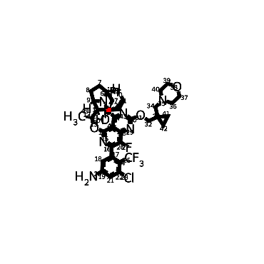 CC(C)/C=C\C(=O)N1[C@@H]2CC[C@H]1[C@H]1[C@H](C)Oc3nc(-c4cc(N)cc(Cl)c4C(F)(F)F)c(F)c4nc(OCC5(CN6CCOCC6)CC5)nc(c34)N1C2